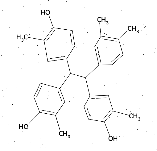 Cc1ccc(C(c2ccc(O)c(C)c2)C(c2ccc(O)c(C)c2)c2ccc(O)c(C)c2)cc1C